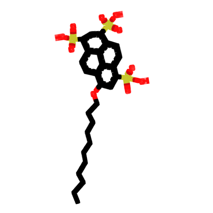 CCCCCCCCCCCOc1cc(S(=O)(=O)O)c2ccc3c(S(=O)(=O)O)cc(S(=O)(=O)O)c4ccc1c2c43